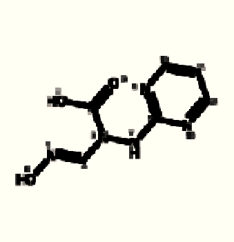 O=C(O)N(C=NO)Nc1ncccn1